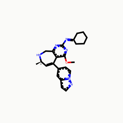 COc1nc(N=C2CCCCC2)nc2c1C(c1ccn3nccc3c1)=C[C@@H](C)NC2